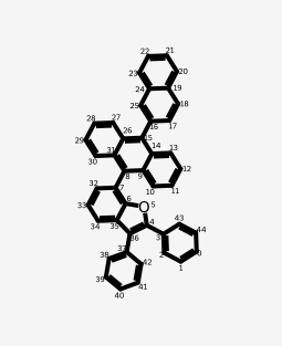 c1ccc(-c2oc3c(-c4c5ccccc5c(-c5ccc6ccccc6c5)c5ccccc45)cccc3c2-c2ccccc2)cc1